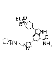 CCS(=O)(=O)N1CCC(c2c[nH]c3c(C(N)=O)cc(-c4cnn(CCNCC5CCCC5)c4)cc23)CC1